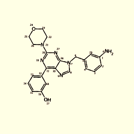 Nc1cccc(Cn2cnc3c(-c4cccc(O)c4)nc(N4CCOCC4)nc32)c1